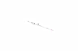 CCCCCCCCCCCCCCCC[PH](=O)CCNC(=O)OCCOCCO